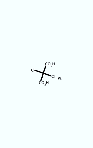 O=C(O)C(Cl)(Cl)C(=O)O.[Pt]